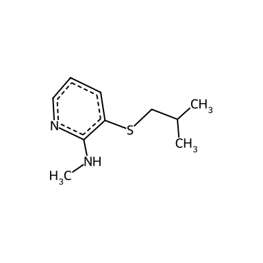 CNc1ncccc1SCC(C)C